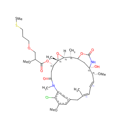 COc1cc2cc(c1Cl)N(C)C(=O)C[C@H](OC(=O)C(COCCCSSC)OC)[C@]1(C)O[C@H]1[C@H](C)C1C[C@@](O)(NC(=O)O1)[C@H](OC)/C=C/C=C(\C)C2